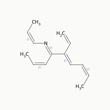 C=CC(=C\C=C/C)/C(/C=C\C)=N/C=C\C